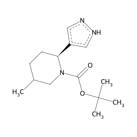 CC1CC[C@@H](c2cn[nH]c2)N(C(=O)OC(C)(C)C)C1